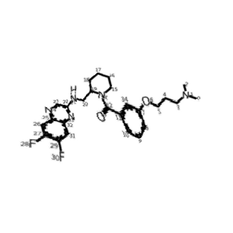 CN(C)CCCOc1cccc(C(=O)N2CCCCC2CNc2cnc3cc(F)c(F)cc3n2)c1